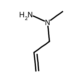 C=CCN(C)N